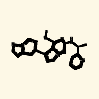 COc1nc(N[C@@H](C)c2ccccn2)nn2ccc(-c3ccn4nccc4c3)c12